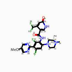 COc1cnc(-c2c(F)cc(N3CCN(C)[C@@H](C)C3)c(NC(=O)c3c[nH]c(=O)cc3C(F)F)c2F)nc1